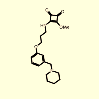 COc1c(NCCCOc2cccc(CN3CCCCC3)c2)c(=O)c1=O